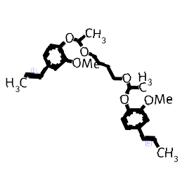 C/C=C/c1ccc(OC(C)OCCCCOC(C)Oc2ccc(/C=C/C)cc2OC)c(OC)c1